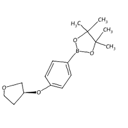 CC1(C)OB(c2ccc(O[C@H]3CCOC3)cc2)OC1(C)C